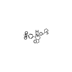 CS(=O)(=O)c1ccc(C2NC(OCC3CCCS3)CC3CCOC32)cc1